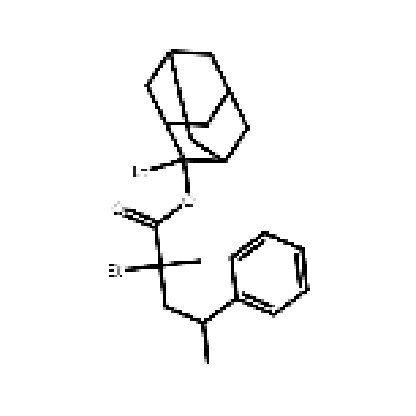 CCC(C)(CC(C)c1ccccc1)C(=O)OC1(CC)C2CC3CC(C2)CC1C3